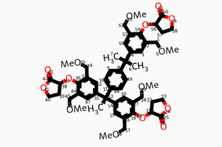 COCc1cc(C(C)(C)c2ccc(C(C)(c3cc(COC)c(OC4CCOC4=O)c(COC)c3)c3cc(COC)c(OC4CCOC4=O)c(COC)c3)cc2)cc(COC)c1OC1CCOC1=O